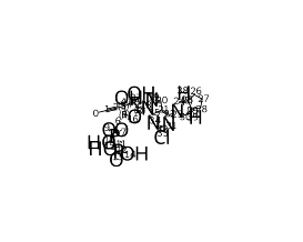 CC#C[C@@]1(O)[C@@H](COP(=O)(O)CP(=O)(O)O)O[C@@H](n2ncc3c(N4C[C@H]5CCC[C@H]5C4)nc(Cl)nc32)[C@@H]1O